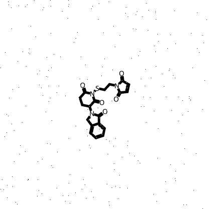 O=C1C=CC(=O)N1CCSN1C(=O)CCC(N2Cc3ccccc3C2=O)C1=O